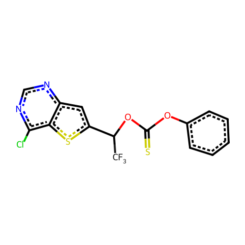 FC(F)(F)C(OC(=S)Oc1ccccc1)c1cc2ncnc(Cl)c2s1